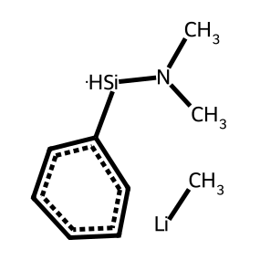 CN(C)[SiH]c1ccccc1.[Li][CH3]